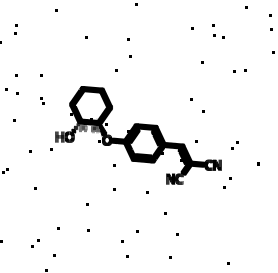 N#CC(C#N)=Cc1ccc(O[C@@H]2CCCC[C@H]2O)cc1